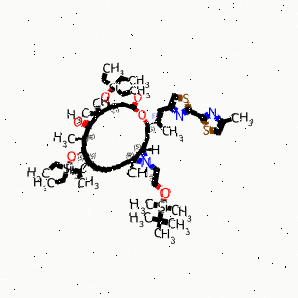 CC[Si](CC)(CC)O[C@H]1[C@@H](C)CCC[C@]2(C)[C@H](C[C@@H](/C(C)=C/c3csc(-c4nc(C)cs4)n3)OC(=O)C[C@H](O[Si](CC)(CC)CC)C(C)(C)C(=O)[C@@H]1C)N2CCO[Si](C)(C)C(C)(C)C